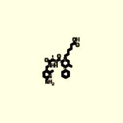 Cc1nc(N)ccc1CNC(=O)[C@H](C)NC(=O)[C@H]1C[C@@H](c2ccccc2)C(C)CN1CCCCCC(=O)O